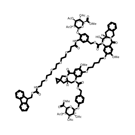 COC(=O)[C@H]1O[C@@H](Oc2ccc(COC(=O)N3C[C@@H]4CC5(CC5)CN4C(=O)c4cc(OC)c(OCCCCCOc5cc6c(cc5OC)C(=O)N5Cc7ccccc7C[C@H]5[C@H](O)N6C(=O)OCc5ccc(O[C@@H]6O[C@H](C(=O)OC)[C@@H](OC(C)=O)[C@H](OC(C)=O)[C@H]6OC(C)=O)c(NC(=O)CCOCCOCCOCCOCCNC(=O)OCC6c7ccccc7-c7ccccc76)c5)cc43)cc2)[C@H](OC(C)=O)[C@@H](OC(C)=O)[C@@H]1OC(C)=O